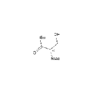 CN[C@@H](CO)C(=O)C(C)(C)C